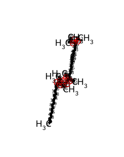 CCCCCCCCCCCCCCCCCC(=O)O[Si](OCC)(OCC)OC(=O)C(CCCCCCCCCCCCCCCC(OCC)(OCC)OCC)(OCC)OCC